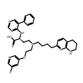 O=C(O)[C@H](CCN(CCCCc1ccc2c(n1)NCCC2)CCOc1cncc(F)c1)Nc1ncncc1-c1ccccc1